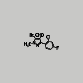 Cn1nc(-c2ccc(F)cc2Cl)c(C=O)c1Br